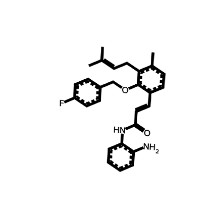 CC(C)=CCc1c(C)ccc(/C=C/C(=O)Nc2ccccc2N)c1OCc1ccc(F)cc1